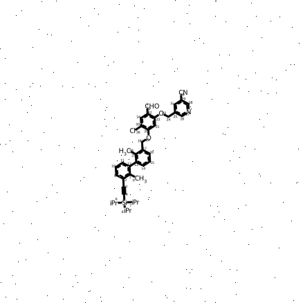 Cc1c(C#C[Si](C(C)C)(C(C)C)C(C)C)cccc1-c1cccc(COc2cc(OCc3cncc(C#N)c3)c(C=O)cc2Cl)c1C